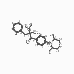 CCC(Cc1ccccc1)(C(=O)c1ccc(N2C(C)COCC2C)cc1)N(C)C